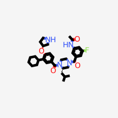 CC(=O)Nc1cc(F)cc(C(=O)N2CCN(C(=O)c3ccc(O[C@H]4CCNC4)c(C4CCCCC4)c3)[C@@H](CC(C)C)C2)c1